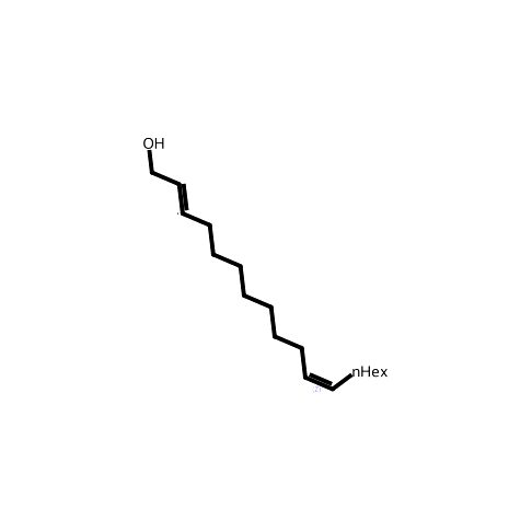 CCCCCC/C=C\CCCCCCC[C]=CCO